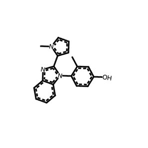 Cc1cc(O)ccc1-n1c(-c2cccn2C)nc2ccccc21